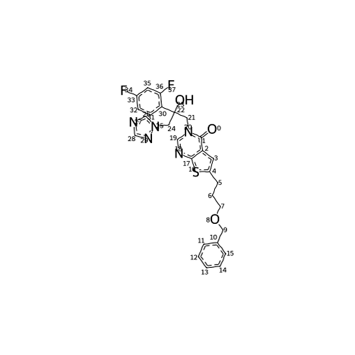 O=c1c2cc(CCCOCc3ccccc3)sc2ncn1CC(O)(Cn1cncn1)c1ccc(F)cc1F